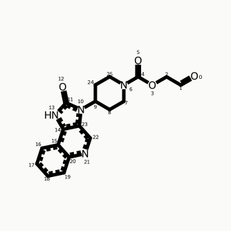 O=CCOC(=O)N1CCC(n2c(=O)[nH]c3c4ccccc4ncc32)CC1